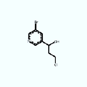 OC(CCCl)c1cncc(Br)c1